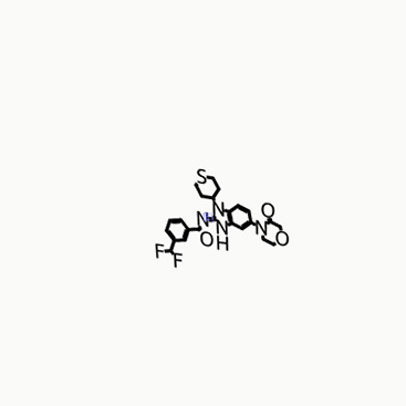 O=C(/N=c1\[nH]c2cc(N3CCOCC3=O)ccc2n1C1CCSCC1)c1cccc(C(F)F)c1